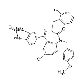 COc1ccc(CN2C(=O)C(Cc3ccccc3Cl)N=C(c3ccc4[nH]c(=O)[nH]c4c3)c3cc(Cl)ccc32)cc1